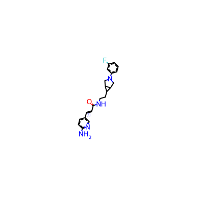 Nc1ccc(/C=C/C(=O)NCCC2C3CN(c4cccc(F)c4)CC23)cn1